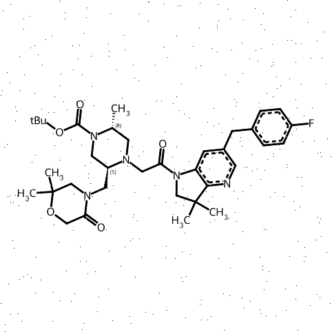 C[C@@H]1CN(CC(=O)N2CC(C)(C)c3ncc(Cc4ccc(F)cc4)cc32)[C@@H](CN2CC(C)(C)OCC2=O)CN1C(=O)OC(C)(C)C